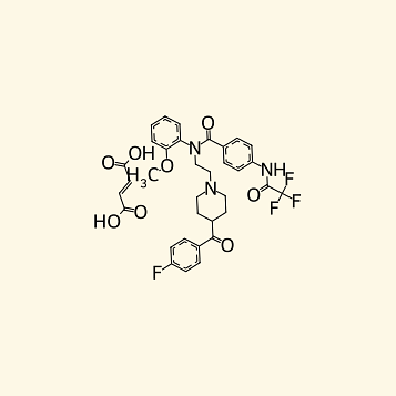 COc1ccccc1N(CCN1CCC(C(=O)c2ccc(F)cc2)CC1)C(=O)c1ccc(NC(=O)C(F)(F)F)cc1.O=C(O)/C=C/C(=O)O